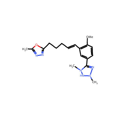 COc1ccc(C2=NN(C)NN2C)cc1/C=C/CCCc1nnc(C)o1